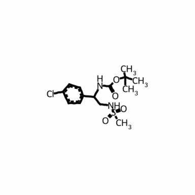 CC(C)(C)OC(=O)NC(CNS(C)(=O)=O)c1ccc(Cl)cc1